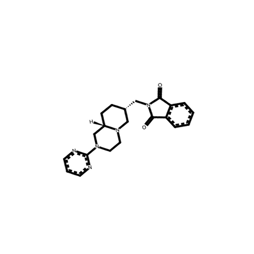 O=C1c2ccccc2C(=O)N1C[C@H]1CC[C@H]2CN(c3ncccn3)CCN2C1